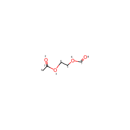 CC(=O)O[CH]COC=O